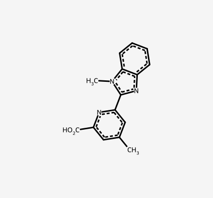 Cc1cc(C(=O)O)nc(-c2nc3ccccc3n2C)c1